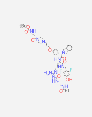 CCC(=O)NCCNC(=O)/N=C(/N)NCCC[C@@H](NC(=O)[C@H](c1ccc(OCCCN2CCN(C(=O)CCNC(=O)OC(C)(C)C)CC2)cc1)N1Cc2ccccc2C1)C(=O)NCc1c(F)cc(O)cc1F